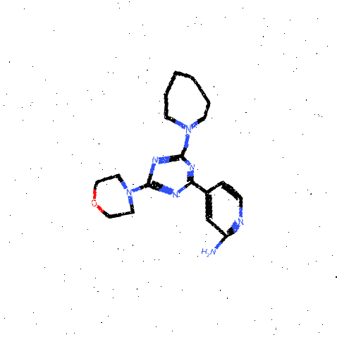 Nc1cc(-c2nc(N3CCCCCC3)nc(N3CCOCC3)n2)ccn1